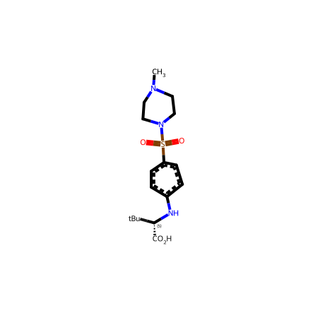 CN1CCN(S(=O)(=O)c2ccc(N[C@H](C(=O)O)C(C)(C)C)cc2)CC1